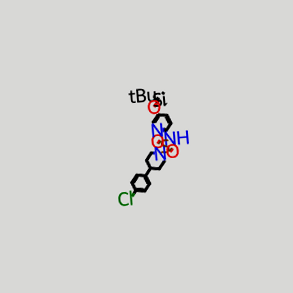 CC(C)(C)[Si](C)(C)Oc1ccc(NS(=O)(=O)N2CCC(c3ccc(Cl)cc3)CC2)nc1